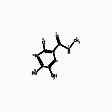 CNC(=O)c1cc(O)c(O)nc1Cl